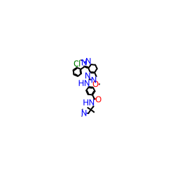 COc1cc(C(=O)NCC(C)(C)CN(C)C)ccc1Nc1ncc2c(n1)-c1c(nn(C)c1-c1ccccc1Cl)CC2